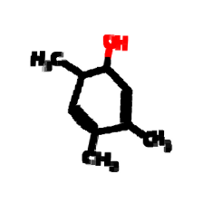 CC1=CC(C)C(O)C=C1C